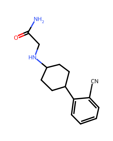 N#Cc1ccccc1C1CCC(NCC(N)=O)CC1